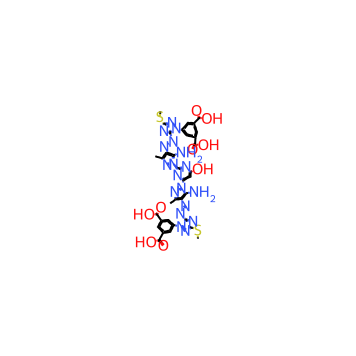 CSc1nc(N=Nc2c(C)nn(-c3cc(O)nc(-n4nc(C)c(N=Nc5nc(SC)nn5-c5cc(C(=O)O)cc(C(=O)O)c5)c4N)n3)c2N)n(-c2cc(C(=O)O)cc(C(=O)O)c2)n1